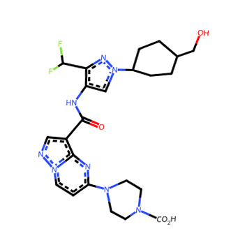 O=C(Nc1cn(C2CCC(CO)CC2)nc1C(F)F)c1cnn2ccc(N3CCN(C(=O)O)CC3)nc12